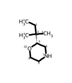 CCC(C)(C)[C@@H]1CNCCO1